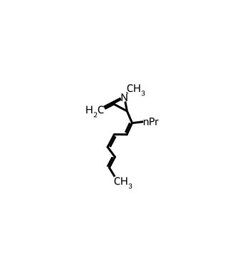 C=C1C(\C(=C/C=C\C=C\C)CCC)N1C